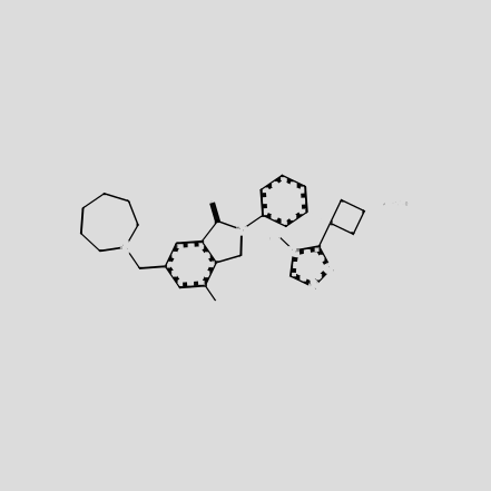 CO[C@H]1C[C@](c2cccc(N3Cc4c(cc(CN5CCCCCC5)cc4C(F)(F)F)C3=O)c2)(c2nncn2C)C1